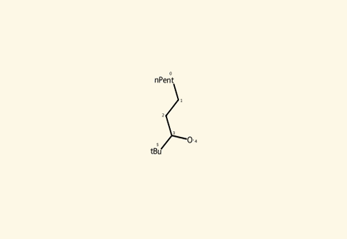 CCCCCCCC([O])C(C)(C)C